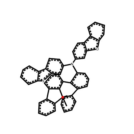 CC1(C)c2ccccc2-c2cccc(-c3c(-c4ccccc4)cccc3N(c3ccc4c(c3)oc3ccccc34)c3ccc4c(c3)sc3ccccc34)c21